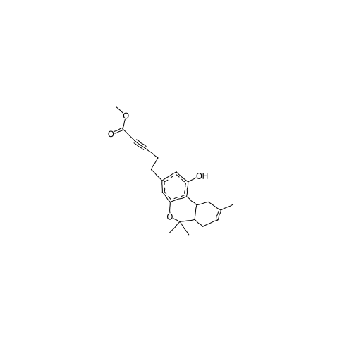 COC(=O)C#CCCc1cc(O)c2c(c1)OC(C)(C)C1CC=C(C)CC21